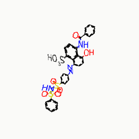 O=C(Nc1ccc(S(=O)(=O)O)c2c(N=Nc3ccc(S(=O)(=O)NS(=O)(=O)c4ccccc4)cc3)ccc(O)c12)c1ccccc1